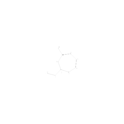 [CH2]CC1CCCCC(C)C1